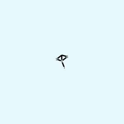 IS12SC1S2